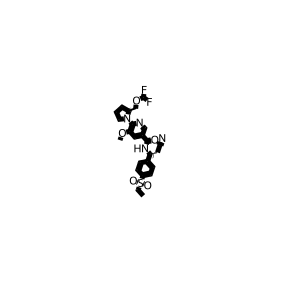 CCS(=O)(=O)c1ccc([C@@H](CC#N)NC(=O)c2cnc(N3CCC[C@H]3COC(F)F)c(OC)c2)cc1